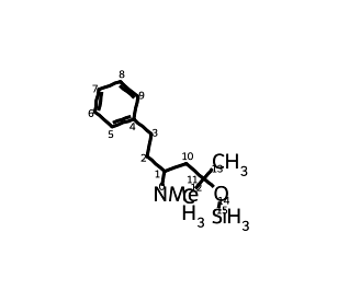 CNC(CCc1ccccc1)CC(C)(C)O[SiH3]